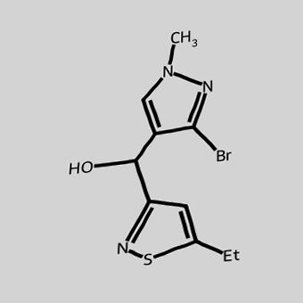 CCc1cc(C(O)c2cn(C)nc2Br)ns1